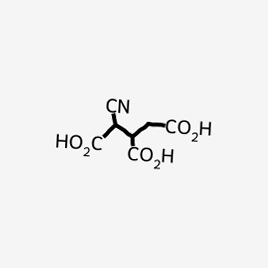 N#CC(C(=O)O)C(CC(=O)O)C(=O)O